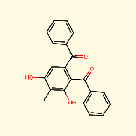 Cc1c(O)cc(C(=O)c2ccccc2)c(C(=O)c2ccccc2)c1O